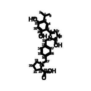 CC(C)c1cc(-c2nnc(O)n2Cc2ccc(CN3CCCC3C(=O)O)cc2)c(O)cc1O